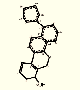 OC1CC=CC2=C1CCc1c2ccc2c(-c3ccccc3)cccc12